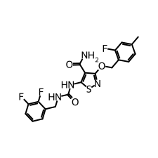 Cc1ccc(COc2nsc(NC(=O)NCc3cccc(F)c3F)c2C(N)=O)c(F)c1